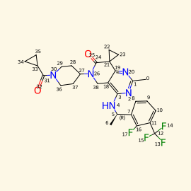 Cc1nc(N[C@H](C)c2cccc(C(F)(F)F)c2F)c2c(n1)C1(CC1)C(=O)N(C1CCN(C(=O)C3CC3)CC1)C2